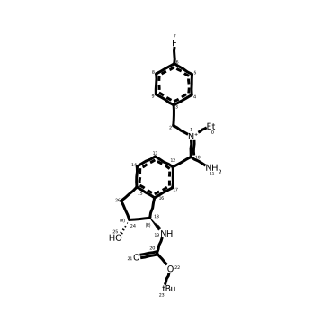 CC[N+](Cc1ccc(F)cc1)=C(N)c1ccc2c(c1)[C@@H](NC(=O)OC(C)(C)C)[C@H](O)C2